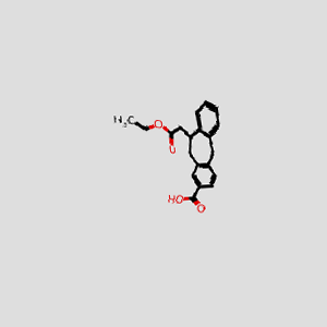 CCOC(=O)CC1Cc2cc(C(=O)O)ccc2Cc2ccccc21